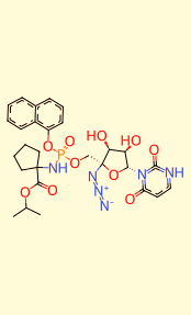 CC(C)OC(=O)C1(NP(=O)(OC[C@@]2(N=[N+]=[N-])O[C@@H](n3c(=O)cc[nH]c3=O)[C@H](O)[C@@H]2O)Oc2cccc3ccccc23)CCCC1